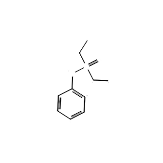 CCP(=S)(CC)Sc1ccccc1